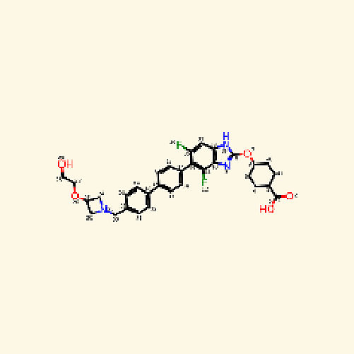 O=C(O)C1CCC(Oc2nc3c(F)c(-c4ccc(-c5ccc(CN6CC(OCCO)C6)cc5)cc4)c(F)cc3[nH]2)CC1